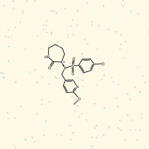 COc1ccc(CN([C@@H]2CCCCNC2=O)S(=O)(=O)c2ccc(Cl)cc2)cn1